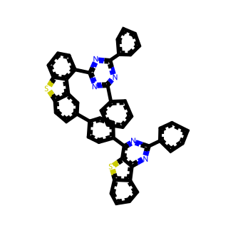 c1ccc(-c2nc(-c3ccccc3)nc(-c3cccc4sc5ccc(-c6ccc(-c7nc(-c8ccccc8)nc8c7sc7ccccc78)cc6)cc5c34)n2)cc1